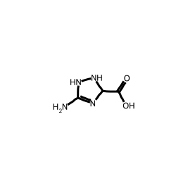 NC1=NC(C(=O)O)NN1